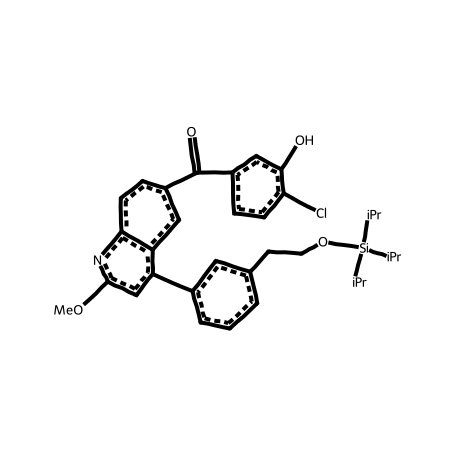 COc1cc(-c2cccc(CCO[Si](C(C)C)(C(C)C)C(C)C)c2)c2cc(C(=O)c3ccc(Cl)c(O)c3)ccc2n1